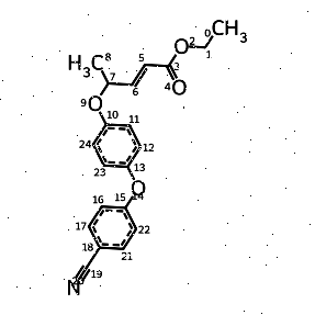 CCOC(=O)/C=C/C(C)Oc1ccc(Oc2ccc(C#N)cc2)cc1